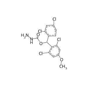 COc1cc(Cl)c(C(OC(=O)NN)c2ccc(Cl)cc2Cl)c(Cl)c1